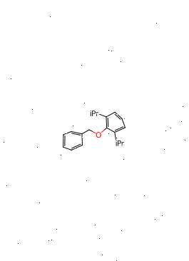 CC(C)c1c[c]cc(C(C)C)c1OCc1ccccc1